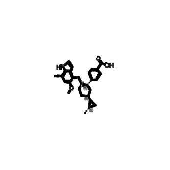 COc1cc(C)c2[nH]ccc2c1CN1CC[C@H](C2C[C@@H]2C)C[C@H]1c1ccc(C(=O)O)cc1